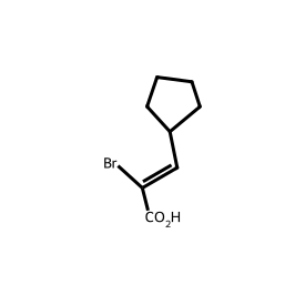 O=C(O)C(Br)=CC1CCCC1